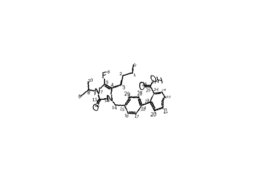 CCCCc1c(F)n(C(C)C)c(=O)n1Cc1ccc(-c2ccccc2C(=O)O)cc1